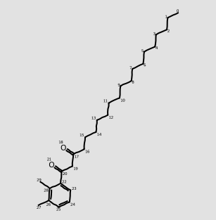 CCCCCCCCCCCCCCCCCC(=O)CC(=O)c1cccc(C)c1C